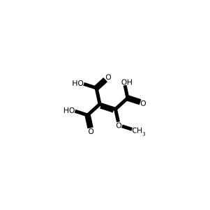 COC(C(=O)O)=C(C(=O)O)C(=O)O